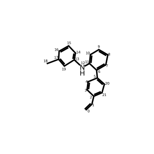 C=Cc1ccc(-c2ccccc2Nc2cccc(C)c2)cc1